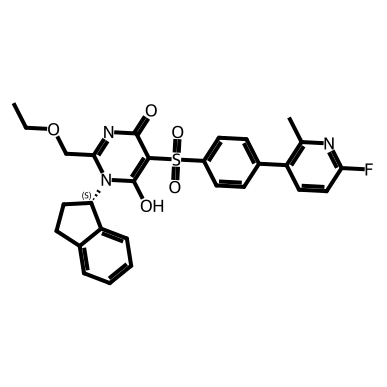 CCOCc1nc(=O)c(S(=O)(=O)c2ccc(-c3ccc(F)nc3C)cc2)c(O)n1[C@H]1CCc2ccccc21